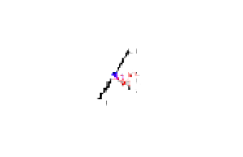 CC(=O)[O-].CC(=O)[O-].CC(=O)[O-].CCCCCCCCCCNCCCCCCCCCC.[Ru+3]